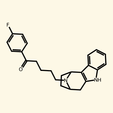 O=C(CCCCN1C2CCC1c1c([nH]c3ccccc13)C2)c1ccc(F)cc1